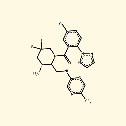 C[C@@H]1CC(F)(F)CN(C(=O)c2cc(Cl)ccc2-n2nccn2)C1CNc1cnc(C(F)(F)F)cn1